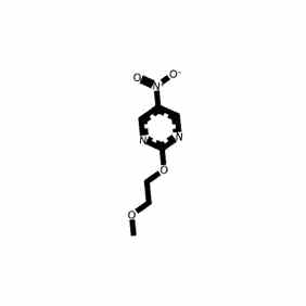 COCCOc1ncc([N+](=O)[O-])cn1